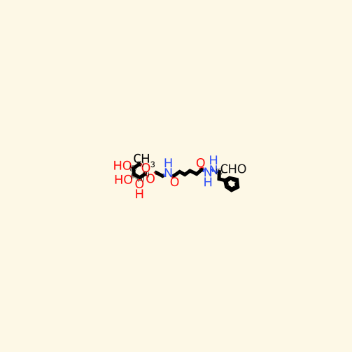 C[C@@H]1O[C@@H](OCCNC(=O)CCCCC(=O)NN[C@H](C=O)Cc2ccccc2)[C@@H](O)[C@H](O)[C@@H]1O